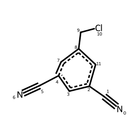 N#Cc1cc(C#N)cc(CCl)c1